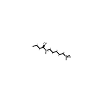 CCCC(=O)NCCCCCNC